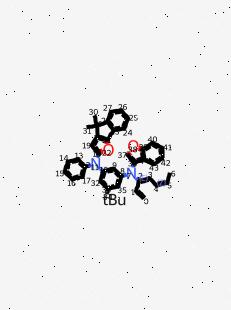 C=C/C(=C\C=C/C)N(c1cc(N(c2ccccc2)c2cc3c(o2)-c2ccccc2C3(C)C)cc(C(C)(C)C)c1)c1coc2ccccc12